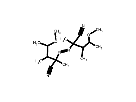 COC(C)C(C)C(C)(C#N)/N=N/C(C)(C#N)C(C)C(C)OC